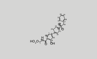 O=C(O)CNC(=O)c1ncc(C2=CCN(S(=O)(=O)Cc3ccccc3)CC2)cc1O